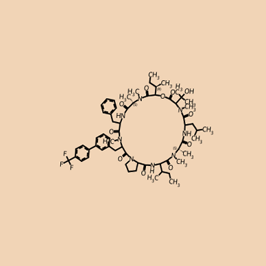 CCC(C)C1NC(=O)C2CCCN2C(=O)C(Cc2cccc(-c3ccc(C(F)(F)F)cc3)c2)N(C)C(=O)C(Cc2ccccc2)NC(=O)[C@H](C)N(C)C(=O)C([C@H](C)CC)OC(=O)C(C(C)(C)O)N(C)C(=O)C(CC(C)C)NC(=O)[C@H](C)N(C)C1=O